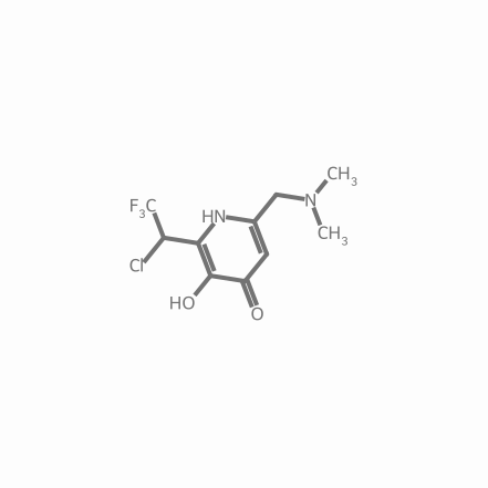 CN(C)Cc1cc(=O)c(O)c(C(Cl)C(F)(F)F)[nH]1